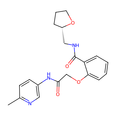 Cc1ccc(NC(=O)COc2ccccc2C(=O)NC[C@@H]2CCCO2)cn1